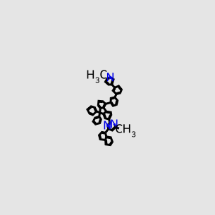 Cc1ccc(-c2cccc(-c3cccc(-c4cccc5c4-c4ccc(-c6nc(C)cc(-c7cccc8ccccc78)n6)cc4C5(c4ccccc4)c4ccccc4)c3)c2)cn1